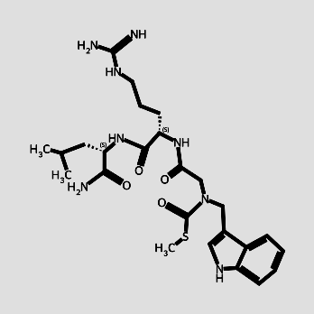 CSC(=O)N(CC(=O)N[C@@H](CCCNC(=N)N)C(=O)N[C@@H](CC(C)C)C(N)=O)Cc1c[nH]c2ccccc12